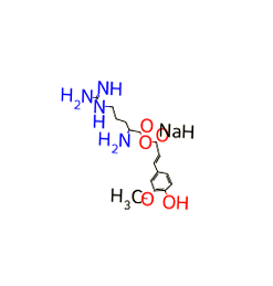 COc1cc(C=CC(=O)OC(=O)[C@@H](N)CCCNC(=N)N)ccc1O.[NaH]